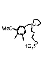 COc1cc(C[N+]2(CCCOS(=O)(=O)O)CCCC2)cc(C)c1C